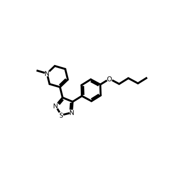 CCCCOc1ccc(-c2nsnc2C2=CCCN(C)C2)cc1